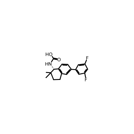 CC1(C)CCc2cc(-c3cc(F)cc(F)c3)ccc2[C@H]1NC(=O)O